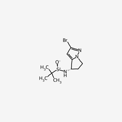 CC(C)(C)[S@@+]([O-])N[C@H]1CCn2nc(Br)cc21